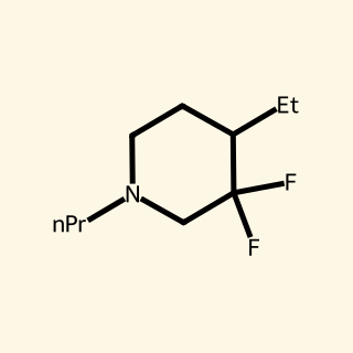 CCCN1CCC(CC)C(F)(F)C1